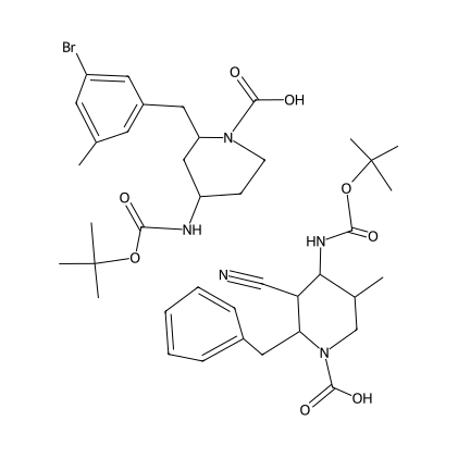 CC1CN(C(=O)O)C(Cc2ccccc2)C(C#N)C1NC(=O)OC(C)(C)C.Cc1cc(Br)cc(CC2CC(NC(=O)OC(C)(C)C)CCN2C(=O)O)c1